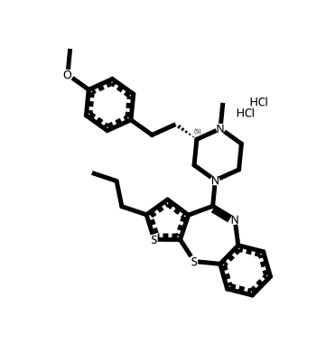 CCCc1cc2c(s1)Sc1ccccc1N=C2N1CCN(C)[C@@H](CCc2ccc(OC)cc2)C1.Cl.Cl